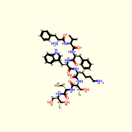 CC(C)[C@H](NC(=O)[C@H](N)Cc1ccccc1)C(=O)N[C@@H](Cc1ccccc1)C(=O)N[C@H](Cc1c[nH]c2ccccc12)C(=O)N[C@@H](CCCCN)C(=O)N[C@H](C(=O)N[C@@H](CS)C(=O)N[C@H](CO)[C@@H](C)O)[C@@H](C)O